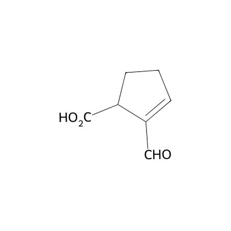 O=CC1=CCCC1C(=O)O